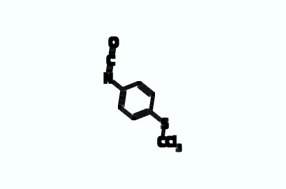 O=C=Nc1ccc(SC(Cl)(Cl)Cl)cc1